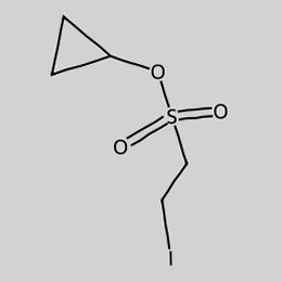 O=S(=O)(CCI)OC1CC1